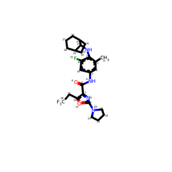 Cc1cc(NC(=O)c2nc(N3CCCC3)oc2CC(F)(F)F)cc(F)c1NC1C2CCCC1CC2